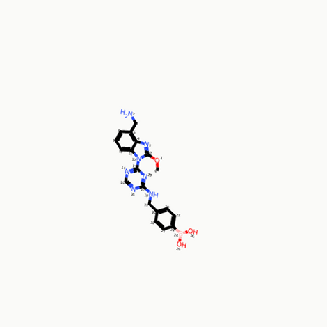 COc1nc2c(CN)cccc2n1-c1ncnc(NCc2ccc(B(O)O)cc2)n1